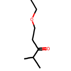 [CH2]COCCC(=O)C(C)C